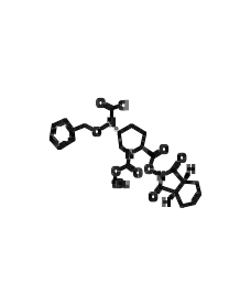 CC(C)(C)OC(=O)N1C[C@H](N(OCc2ccccc2)C(=O)Cl)CC[C@H]1C(=O)ON1C(=O)[C@H]2CC=CC[C@H]2C1=O